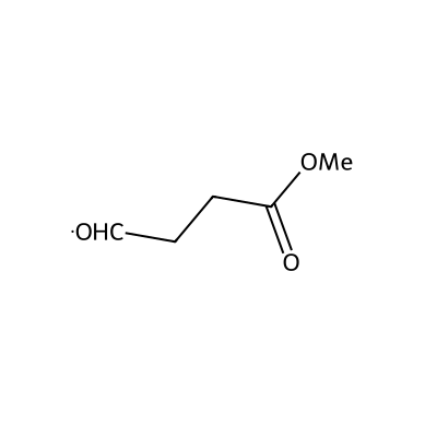 [CH2]OC(=O)CC[C]=O